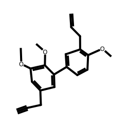 C#CCc1cc(OC)c(OC)c(-c2ccc(OC)c(CC=C)c2)c1